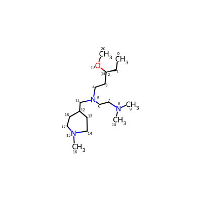 CC[C@@H](CCN(CCN(C)C)CC1CCN(C)CC1)OC